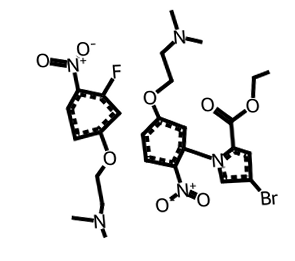 CCOC(=O)c1cc(Br)cn1-c1cc(OCCN(C)C)ccc1[N+](=O)[O-].CN(C)CCOc1ccc([N+](=O)[O-])c(F)c1